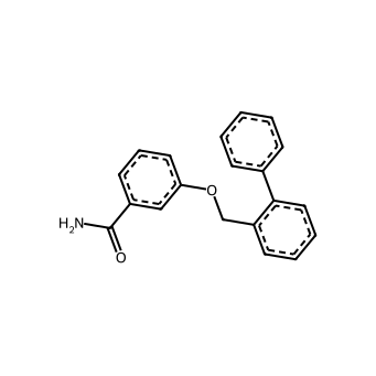 NC(=O)c1cccc(OCc2ccccc2-c2ccccc2)c1